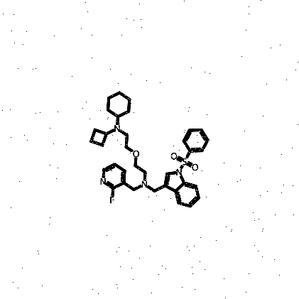 O=S(=O)(c1ccccc1)n1cc(CN(CCOCCN(C2CCCCC2)C2CCC2)Cc2cccnc2F)c2ccccc21